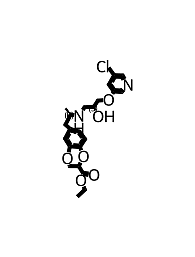 CCOC(=O)C1COc2cc(C[C@@H](C)NC[C@H](O)COc3cncc(Cl)c3)ccc2O1